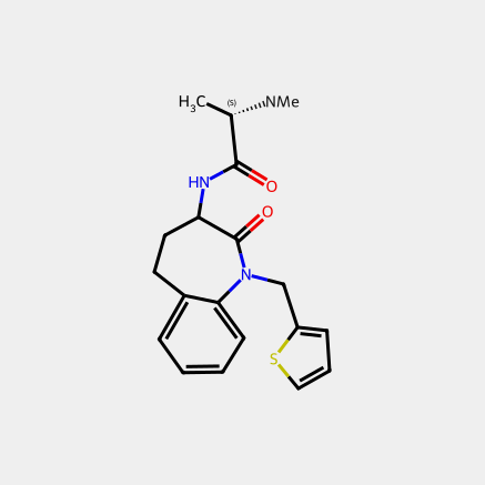 CN[C@@H](C)C(=O)NC1CCc2ccccc2N(Cc2cccs2)C1=O